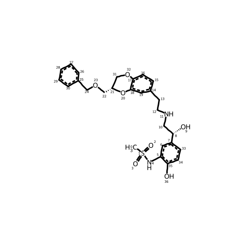 CS(=O)(=O)Nc1cc([C@@H](O)CNCCc2ccc3c(c2)O[C@H](COCc2ccccc2)CO3)ccc1O